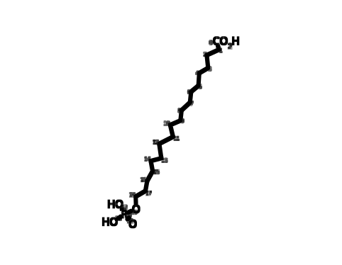 O=C(O)CCCCCCCCCCCCCCCCCCOP(=O)(O)O